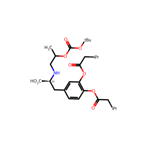 CC(C)CC(=O)Oc1ccc(C[C@H](NCC(C)OC(=O)OC(C)(C)C)C(=O)O)cc1OC(=O)CC(C)C